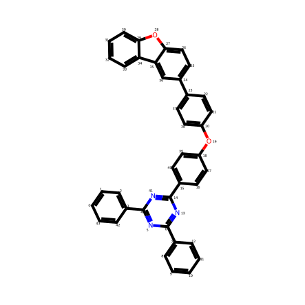 c1ccc(-c2nc(-c3ccccc3)nc(-c3ccc(Oc4ccc(-c5ccc6oc7ccccc7c6c5)cc4)cc3)n2)cc1